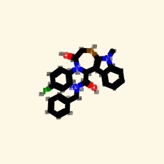 Cn1c2c(c3ccccc31)C(C(=O)NCc1ccccc1)N(c1ccc(F)cc1)C(=O)CS2